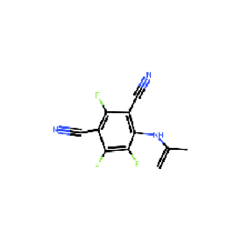 C=C(C)Nc1c(F)c(F)c(C#N)c(F)c1C#N